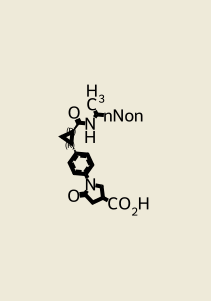 CCCCCCCCCC(C)NC(=O)[C@@H]1C[C@H]1c1ccc(N2CC(C(=O)O)CC2=O)cc1